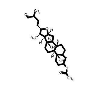 CC(=O)OC1CC[C@@]2(C)C(CC[C@H]3[C@@H]4C[C@@H]5O[C@H](CCC(C)C=O)[C@@H](C)[C@@H]5[C@@]4(C)CC[C@@H]32)C1